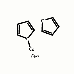 [Co][c-]1cccc1.[Fe+2].c1cc[cH-]c1